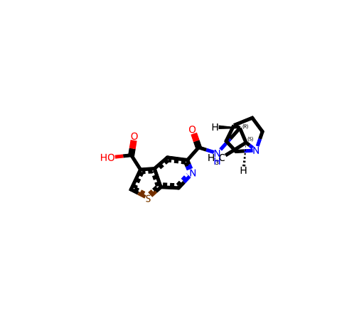 C[C@H]1[C@H](NC(=O)c2cc3c(C(=O)O)csc3cn2)C2CCN1CC2